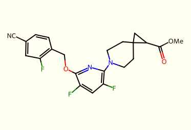 COC(=O)C1CC12CCN(c1nc(OCc3ccc(C#N)cc3F)c(F)cc1F)CC2